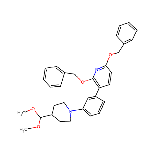 COC(OC)C1CCN(c2cccc(-c3ccc(OCc4ccccc4)nc3OCc3ccccc3)c2)CC1